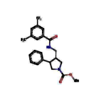 CC(C)(C)OC(=O)N1CC(CNC(=O)c2cc(C(F)(F)F)cc(C(F)(F)F)c2)C(c2ccccc2)C1